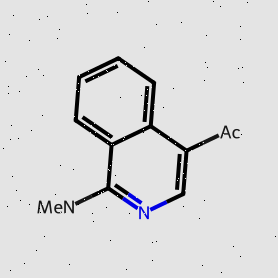 CNc1ncc(C(C)=O)c2ccccc12